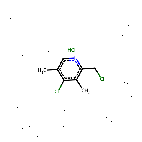 Cc1cnc(CCl)c(C)c1Cl.Cl